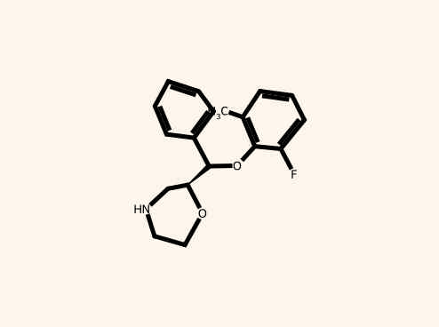 Cc1cccc(F)c1OC(c1ccccc1)[C@@H]1CNCCO1